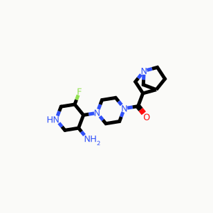 NC1CNCC(F)C1N1CCN(C(=O)C2CN3CCC2C3)CC1